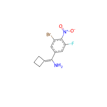 NC(=C1CCC1)c1cc(F)c([N+](=O)[O-])c(Br)c1